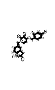 O=C1Cc2cc(Cn3ccc(OCc4ccc(F)cc4F)c(Cl)c3=O)ccc2N1